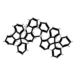 c1ccc(N(c2cccc3c2-c2ccccc2C3(c2ccccc2)c2ccccc2)c2ccc(C3(c4ccccc4)c4ccccc4-c4ccccc43)c3oc4ccccc4c23)cc1